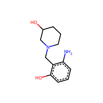 Nc1cccc(O)c1CN1CCCC(O)C1